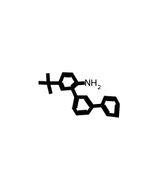 CC(C)(C)c1ccc(N)c(-c2cccc(-c3ccccc3)c2)c1